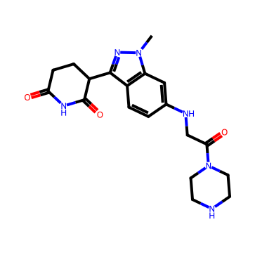 Cn1nc(C2CCC(=O)NC2=O)c2ccc(NCC(=O)N3CCNCC3)cc21